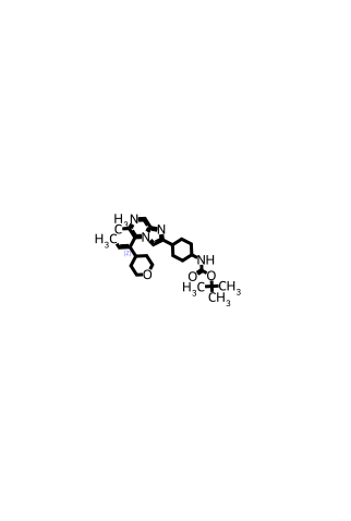 C/C=C(\c1c(C)ncc2nc(C3CCC(NC(=O)OC(C)(C)C)CC3)cn12)C1CCOCC1